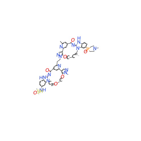 Cc1cc2cc(n1)-c1cnn(CCc3cc4cc(n3)-c3cnn(C)c3OCCO[C@@H](C)CN3/C(=N/C4=O)Nc4ccc(N[SH](C)(C)=O)cc43)c1OCCC[C@@H](C)CN1/C(=N/C2=O)Nc2ccc(P3(=O)CCN(C)CC3)cc21